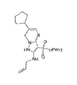 C=CCNC1=C(S(=O)(=O)CCCCC)C2=NC=C(C3CCCC3)CN2N1